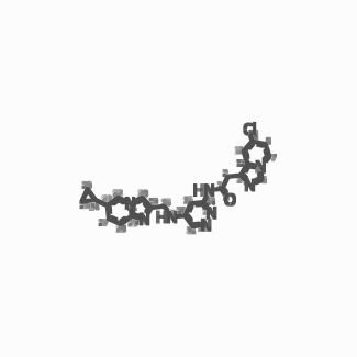 O=C(Cc1ncn2ccc(Cl)cc12)Nc1cc(NCc2cn3cc(C4CC4)ccc3n2)cnn1